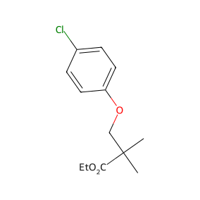 CCOC(=O)C(C)(C)COc1ccc(Cl)cc1